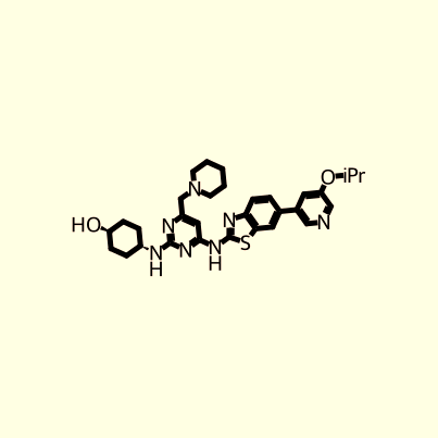 CC(C)Oc1cncc(-c2ccc3nc(Nc4cc(CN5CCCCC5)nc(N[C@H]5CC[C@H](O)CC5)n4)sc3c2)c1